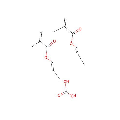 C=C(C)C(=O)OC=CC.C=C(C)C(=O)OC=CC.O=C(O)O